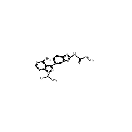 CNC(=O)Nc1nc2ccc(-c3nn(C(C)C)c4ncnc(N)c34)cc2s1